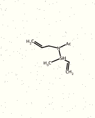 C=CCN(C(C)=O)[SiH](C)C=C